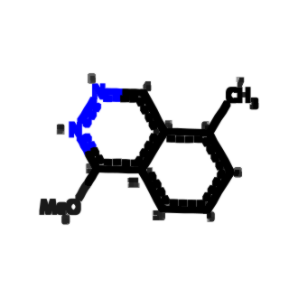 COc1nncc2c(C)cccc12